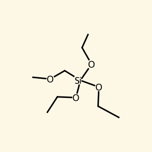 CCO[Si](COC)(OCC)OCC